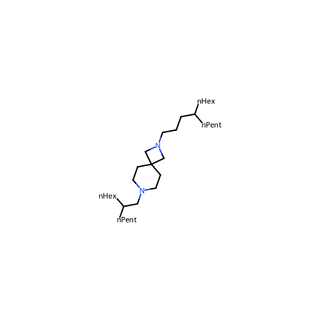 CCCCCCC(CCCCC)CCCN1CC2(CCN(CC(CCCCC)CCCCCC)CC2)C1